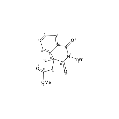 CCCN1C(=O)c2ccccc2C(C)(CC(=O)OC)C1=O